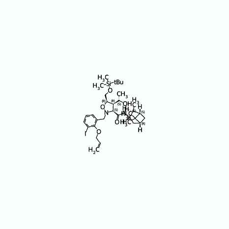 C=CCOc1c(I)cccc1CN1O[C@@H](CO[Si](C)(C)C(C)(C)C)[C@@H]([C@H](C)O)[C@H]1C(=O)N[C@H]1C[C@H]2C[C@@H]([C@@H]1C)C2(C)C